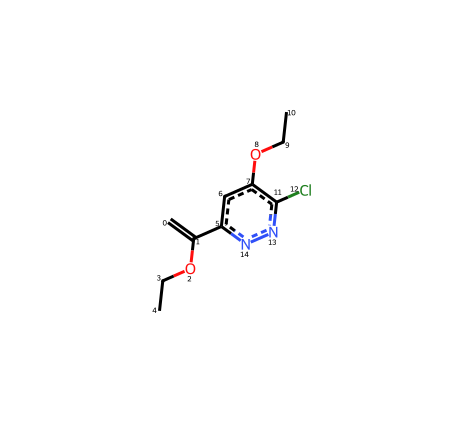 C=C(OCC)c1cc(OCC)c(Cl)nn1